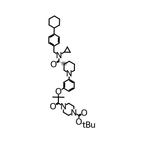 CC(C)(C)OC(=O)N1CCN(C(=O)C(C)(C)Oc2cccc(N3CCC[C@@H](C(=O)N(Cc4ccc(C5CCCCC5)cc4)C4CC4)C3)c2)CC1